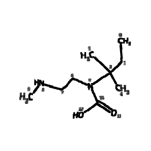 CCC(C)(C)N(CCNC)C(=O)O